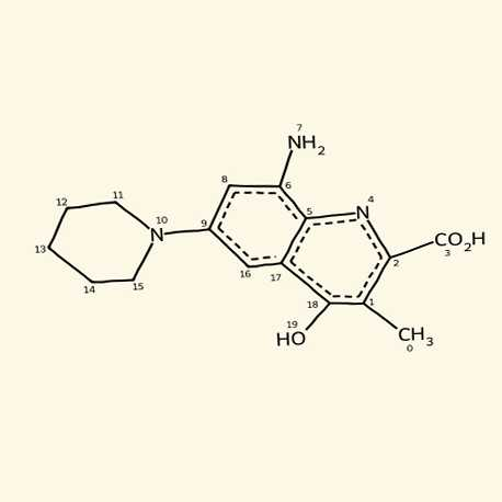 Cc1c(C(=O)O)nc2c(N)cc(N3CCCCC3)cc2c1O